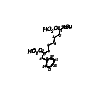 CC(C)(C)C(CCCCCC(Cc1ccccc1)C(=O)O)C(=O)O